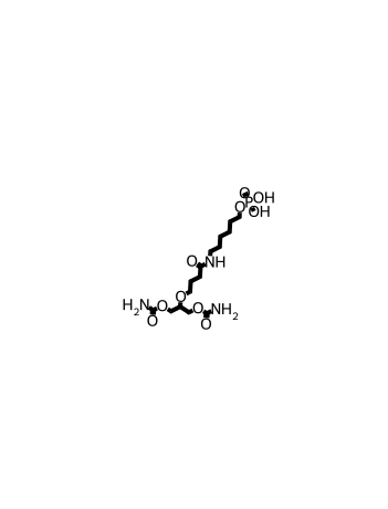 NC(=O)OCC(COC(N)=O)OCCCC(=O)NCCCCCCOP(=O)(O)O